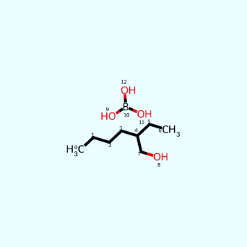 CCCCC(CC)CO.OB(O)O